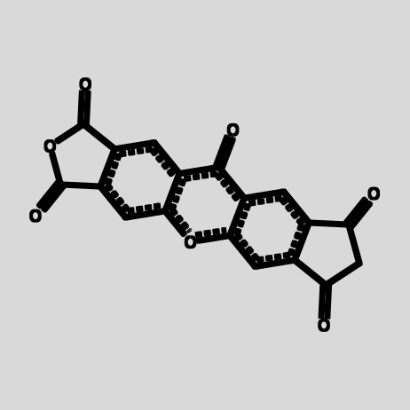 O=C1CC(=O)c2cc3c(=O)c4cc5c(cc4oc3cc21)C(=O)OC5=O